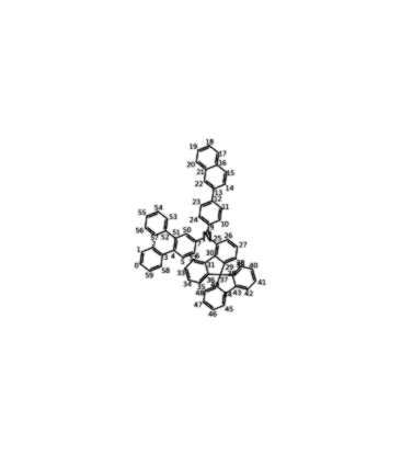 c1ccc(-c2ccc(N(c3ccc(-c4ccc5ccccc5c4)cc3)c3cccc4c3-c3ccccc3C43c4ccccc4-c4ccccc43)cc2-c2ccccc2)cc1